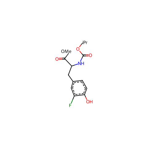 COC(=O)C(Cc1ccc(O)c(F)c1)NC(=O)OC(C)C